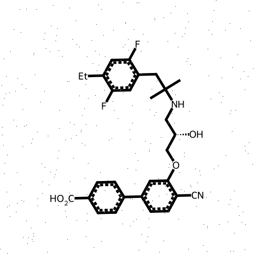 CCc1cc(F)c(CC(C)(C)NC[C@H](O)COc2cc(-c3ccc(C(=O)O)cc3)ccc2C#N)cc1F